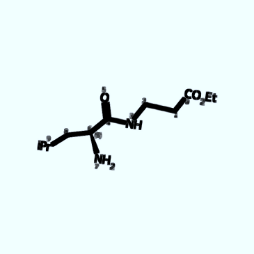 CCOC(=O)CCNC(=O)[C@@H](N)CC(C)C